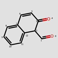 O=[C]C1C(=O)C=Cc2ccccc21